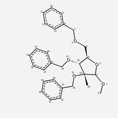 COC1O[C@H](COCc2ccccc2)[C@@H](OCc2ccccc2)[C@@]1(C)OCc1ccccc1